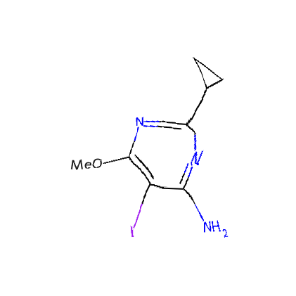 COc1nc(C2CC2)nc(N)c1I